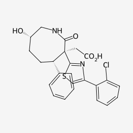 O=C(O)C[C@@]1(c2nc(-c3ccccc3Cl)cs2)C(=O)NC[C@@H](O)CC[C@H]1c1ccccc1